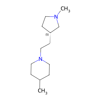 CC1CCN(CC[C@@H]2CCN(C)C2)CC1